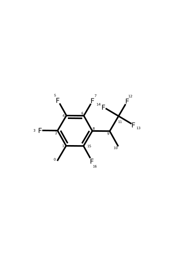 Cc1c(F)c(F)c(F)c(C(C)C(F)(F)F)c1F